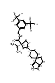 CC(C)[C@]1(C(=O)NCc2cc(C(F)(F)F)cc(C(F)(F)F)c2)CC[C@@H](N2CCC3(CCc4n[nH]cc43)CC2)C1